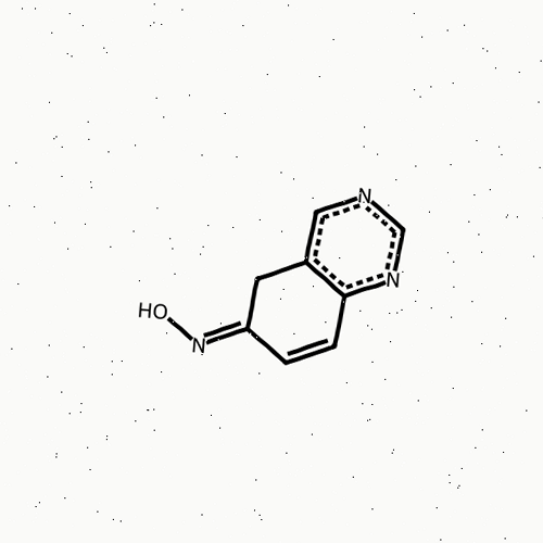 ON=C1C=Cc2ncncc2C1